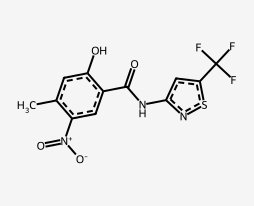 Cc1cc(O)c(C(=O)Nc2cc(C(F)(F)F)sn2)cc1[N+](=O)[O-]